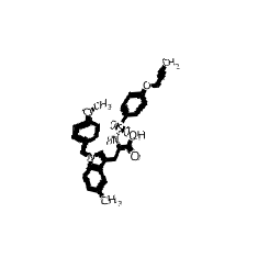 CC#CCOc1ccc(S(=O)(=O)NC(Cc2cn(Cc3ccc(OC)cc3)c3ccc(C)cc23)C(=O)O)cc1